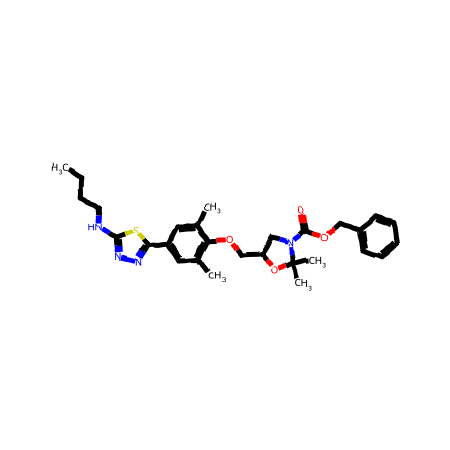 CCCCNc1nnc(-c2cc(C)c(OCC3CN(C(=O)OCc4ccccc4)C(C)(C)O3)c(C)c2)s1